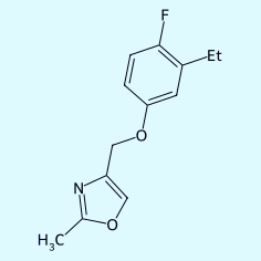 CCc1cc(OCc2coc(C)n2)ccc1F